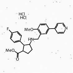 COC(=O)C1CCC(NCc2cc(-c3ccncc3)ccc2OC)C1c1ccc(F)cc1.Cl.Cl